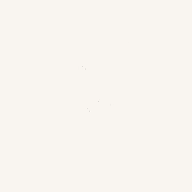 O=C([C@@H]1CNC[C@]12CCCc1cc(CO)ccc12)N1CC[C@@H](c2ccccc2)C[C@H]1C1CCCCC1